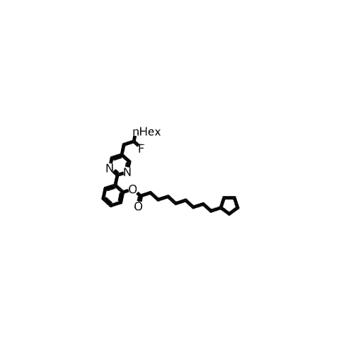 CCCCCCC(F)Cc1cnc(-c2ccccc2OC(=O)CCCCCCCCC2CCCC2)nc1